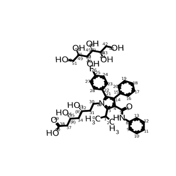 CC(C)c1c(C(=O)Nc2ccccc2)c(-c2ccccc2)c(-c2ccc(F)cc2)n1CC[C@@H](O)C[C@@H](O)CC(=O)O.OC[C@@H](O)[C@@H](O)[C@H](O)[C@H](O)CO